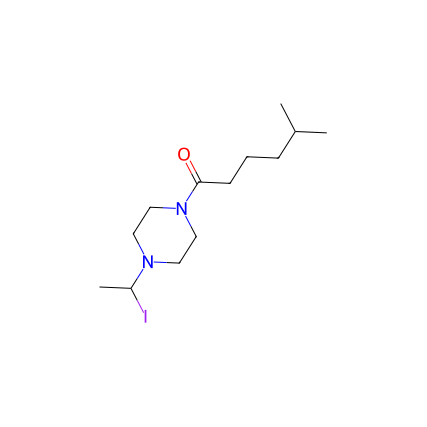 CC(C)CCCC(=O)N1CCN(C(C)I)CC1